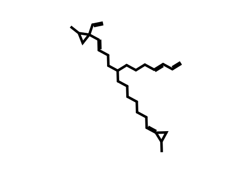 C=CC=CCCCC(CCC=CC1(C=C)CC1C)CCCCCCC=C1CC1C